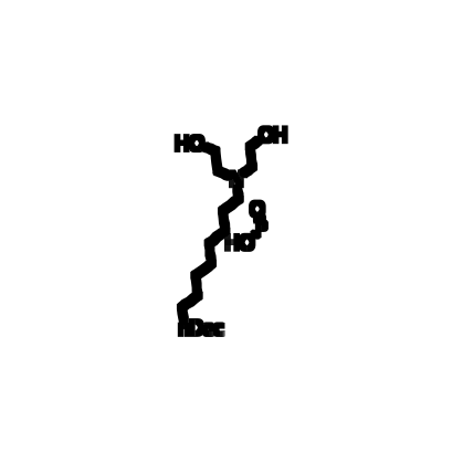 CCCCCCCCCCCCCCCCCCN(CCO)CCO.O=PO